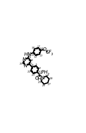 O=[SH](P)(c1ccc(-c2cc(Nc3ccc(OC(F)(F)F)cc3)ncn2)cc1)N1CCCCC1